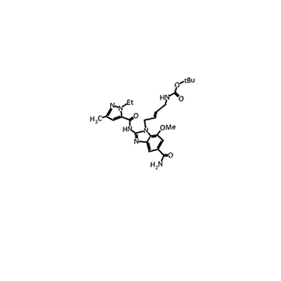 CCn1nc(C)cc1C(=O)Nc1nc2cc(C(N)=O)cc(OC)c2n1C/C=C/CNC(=O)OC(C)(C)C